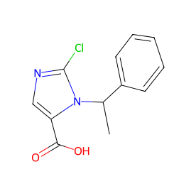 CC(c1ccccc1)n1c(C(=O)O)cnc1Cl